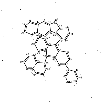 c1ccc(-c2ccc3c(-c4cccc5oc6cc7ccccc7cc6c45)c4ccccc4c(-c4cccc5ccccc45)c3c2)cc1